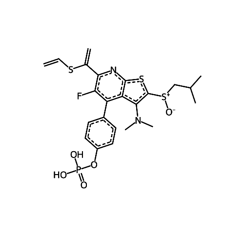 C=CSC(=C)c1nc2sc([S+]([O-])CC(C)C)c(N(C)C)c2c(-c2ccc(OP(=O)(O)O)cc2)c1F